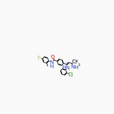 Cc1cc(F)ccc1NC(=O)c1ccc(/C(=C/C(=N)C(F)(F)F)Nc2ccccc2Cl)cc1